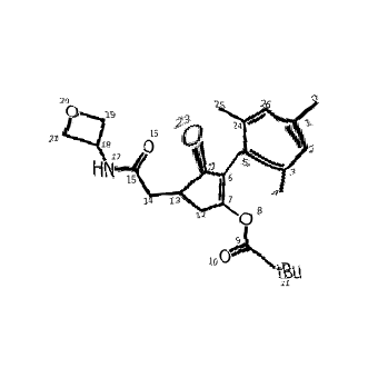 Cc1cc(C)c(C2=C(OC(=O)C(C)(C)C)CC(CC(=O)NC3COC3)C2=O)c(C)c1